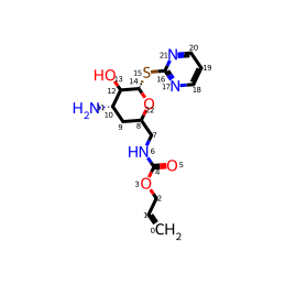 C=CCOC(=O)NCC1C[C@H](N)C(O)[C@H](Sc2ncccn2)O1